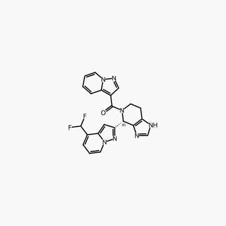 O=C(c1cnn2ccccc12)N1CCc2[nH]cnc2[C@@H]1c1cc2c(C(F)F)cccn2n1